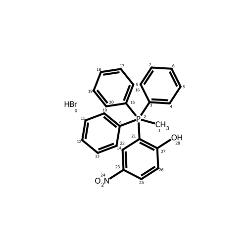 Br.CP(c1ccccc1)(c1ccccc1)(c1ccccc1)c1cc([N+](=O)[O-])ccc1O